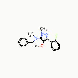 CCCOc1c(-c2ccccc2F)nn(C)c1N(C)Cc1ccccc1